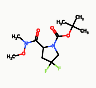 CON(C)C(=O)C1CC(F)(F)CN1C(=O)OC(C)(C)C